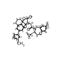 Cn1cc(-c2ccc3c(c2)CCCC32OC(=O)N(CC(=O)N3Cc4cc(F)ccc4OC[C@H]3C3CC3)C2=O)cn1